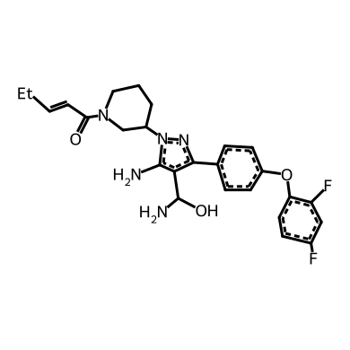 CC/C=C/C(=O)N1CCCC(n2nc(-c3ccc(Oc4ccc(F)cc4F)cc3)c(C(N)O)c2N)C1